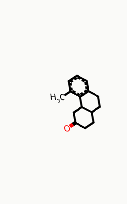 Cc1cccc2c1C1CC(=O)CCC1CC2